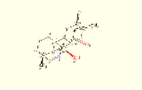 C=C1C(=O)[C@]23CC[C@H]1CC2[C@@]12CCC[C@@](C)(C=NC1)C2C[C@H]3O